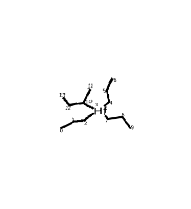 CC[CH2][Hf]([CH2]CC)([CH2]CC)[CH](C)CC